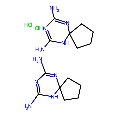 Cl.Cl.NC1=NC2(CCCC2)NC(N)=N1.NC1=NC2(CCCC2)NC(N)=N1